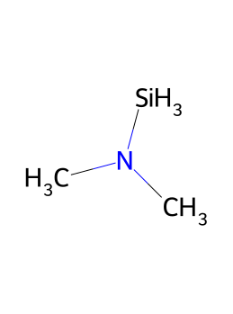 CN(C)[SiH3]